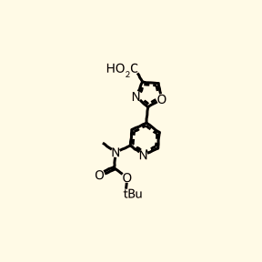 CN(C(=O)OC(C)(C)C)c1cc(-c2nc(C(=O)O)co2)ccn1